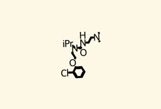 CC(C)N(CCOc1ccccc1Cl)C(=O)NCCN(C)C